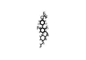 CCCC1CCC2c3cc(F)c(-c4ccc(OC(F)F)cc4)c(F)c3CCC2C1